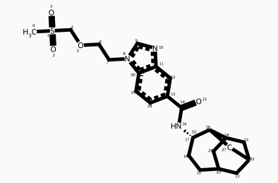 CS(=O)(=O)COCCn1cnc2cc(C(=O)N[C@H]3CCC4CC5CC(C4)C3C5)ccc21